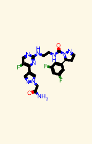 NC(=O)Cn1cc(-c2nc(NCCNC(=O)N3N=CC[C@H]3c3cc(F)cc(F)c3)ncc2F)cn1